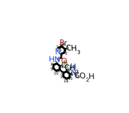 Cc1cc(C(=O)Nc2cccc(-c3cccc(NC(=O)O)c3C)c2Cl)ncc1Br